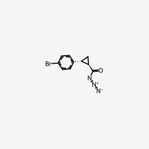 [N-]=[N+]=NC(=O)[C@@H]1C[C@H]1c1ccc(Br)cc1